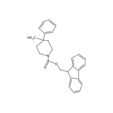 O=C(OCC1c2ccccc2-c2ccccc21)N1CCC(C(=O)O)(c2ccccc2)CC1